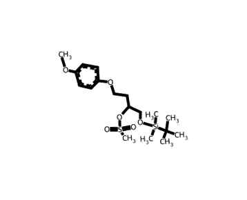 COc1ccc(OCCC(CO[Si](C)(C)C(C)(C)C)OS(C)(=O)=O)cc1